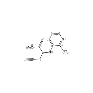 C#CCC(Nc1cccnc1[N+](=O)[O-])C(=O)OC